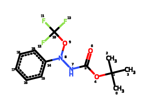 CC(C)(C)OC(=O)NN(OC(F)(F)F)c1ccccc1